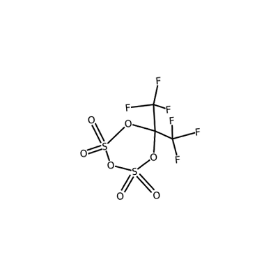 O=S1(=O)OC(C(F)(F)F)(C(F)(F)F)OS(=O)(=O)O1